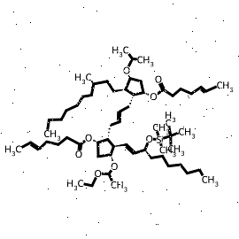 C/C=C/CCCC(=O)O[C@H]1C[C@@H](OC(C)OCC)[C@H](/C=C/[C@H](CCCCCCC)O[Si](C)(C)C(C)(C)C)[C@H]1C/C=C/C[C@@H]1[C@@H](CC[C@@H](C)CCCCCCC)[C@H](OC(C)C)C[C@@H]1OC(=O)CCC/C=C/C